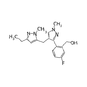 CCc1cc(Cc2cn(C)nc2-c2ccc(F)cc2CO)n(C)n1